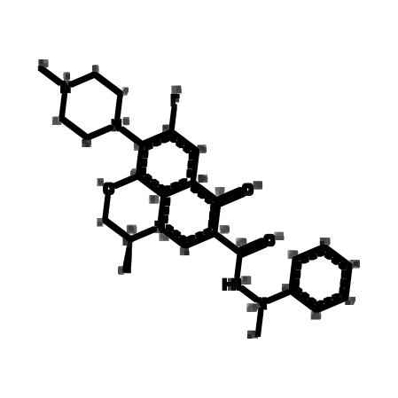 C[C@H]1COc2c(N3CCN(C)CC3)c(F)cc3c(=O)c(C(=O)NN(C)c4ccccc4)cn1c23